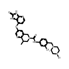 CCN1CCN(Cc2ccc(NC(=O)N3Cc4cc(Oc5ccnc6[nH]c(=O)[nH]c56)cnc4C(C)C3)cc2C(F)(F)F)CC1